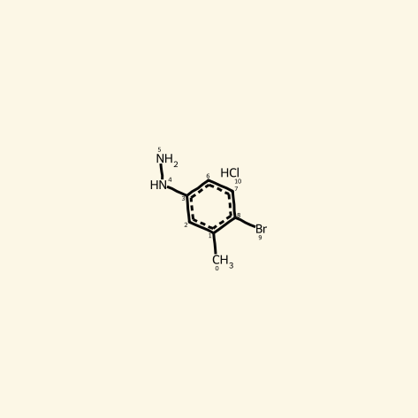 Cc1cc(NN)ccc1Br.Cl